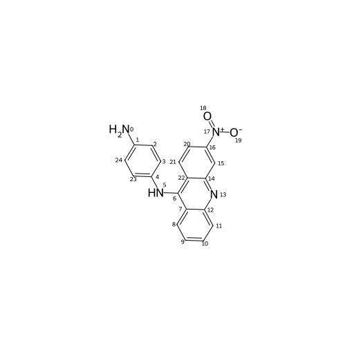 Nc1ccc(Nc2c3ccccc3nc3cc([N+](=O)[O-])ccc23)cc1